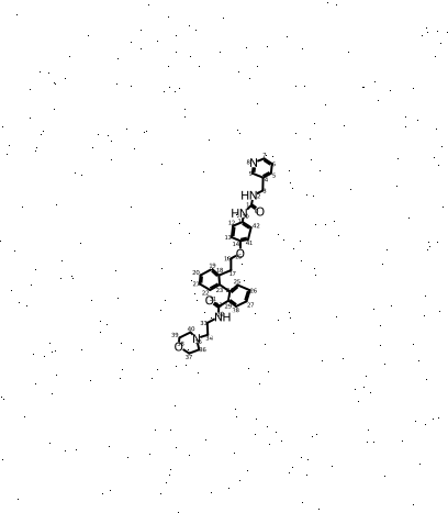 O=C(NCc1cccnc1)Nc1ccc(OCCc2ccccc2-c2ccccc2C(=O)NCCN2CCOCC2)cc1